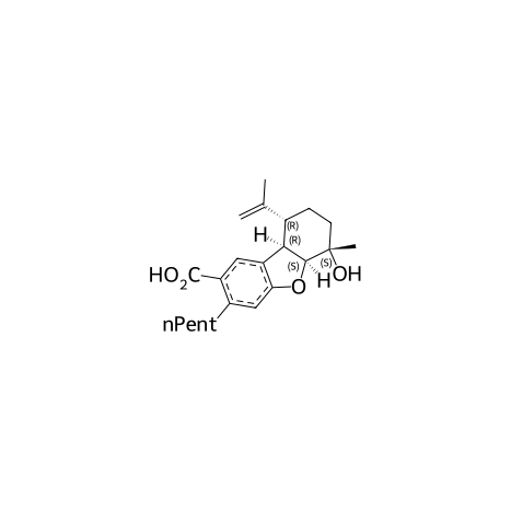 C=C(C)[C@@H]1CC[C@](C)(O)[C@H]2Oc3cc(CCCCC)c(C(=O)O)cc3[C@@H]12